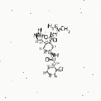 CN(C)C=NS(=O)(=O)c1cc(NC(=O)Cc2ccccc2Cl)ccc1-c1cn[nH]c1